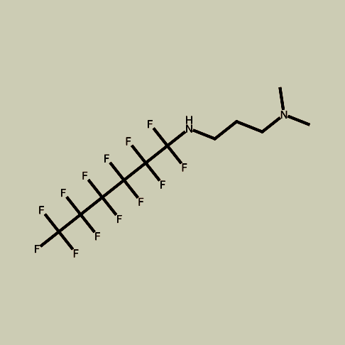 CN(C)CCCNC(F)(F)C(F)(F)C(F)(F)C(F)(F)C(F)(F)C(F)(F)F